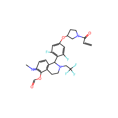 C=CC(=O)N1CCC(Oc2cc(F)c(C3c4ccc(NC)c(OC=O)c4CCN3CC(F)(F)F)c(F)c2)C1